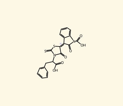 O=C(O)C(Cc1ccccc1)N1C(=O)/C(=C2\C(=O)N(C(=O)O)c3ccccc32)SC1=S